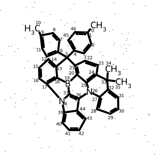 Cc1ccc(C2(c3ccc(C)cc3)c3cccc4c3B3c5c2ccc2c5N(c5ccccc5C2(C)C)c2c3n-4c3ccccc23)cc1